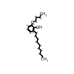 CCCCCCCCCCc1cccc(OCCCC)c1O